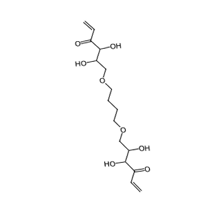 C=CC(=O)C(O)C(O)COCCCCOCC(O)C(O)C(=O)C=C